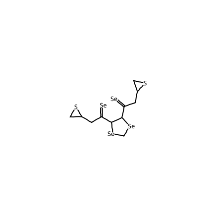 [Se]=C(CC1CS1)C1[Se]C[Se]C1C(=[Se])CC1CS1